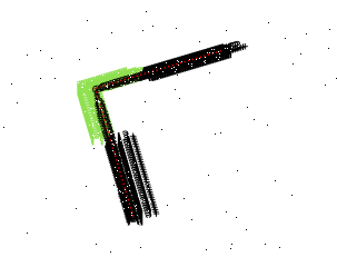 F.F.F.F.F.F.F.F.F.F.F.F.F.F.F.F.F.F.F.F.F.F.F.F.F.F.F.F.F.F.F.F.F.F.F.F.F.F.F.F.F.F.F.F.F.F.F.F.F.F.[Al+3].[Al+3].[Al+3].[Al+3].[Al+3].[Al+3].[Al+3].[Al+3].[Al+3].[Al+3].[Al+3].[Al+3].[Al+3].[Al+3].[Al+3].[Al+3].[Al+3].[Al+3].[Al+3].[Al+3].[Al+3].[Al+3].[Al+3].[Al+3].[Al+3].[Al+3].[Al+3].[Al+3].[Al+3].[Al+3].[Al+3].[Al+3].[Al+3].[Al+3].[Al+3].[Al+3].[Al+3].[Al+3].[Al+3].[Al+3].[Al+3].[Al+3].[Al+3].[Al+3].[Al+3].[Al+3].[Al+3].[Al+3].[Al+3].[Al+3].[Al+3].[Al+3].[Al+3].[Al+3].[Al+3].[Al+3].[Al+3].[Al+3].[Al+3].[Al+3].[Al+3].[Al+3].[Al+3].[Al+3].[Al+3].[Al+3].[Al+3].[Al+3].[Al+3].[Al+3].[Al+3].[Al+3].[Al+3].[Al+3].[Al+3].[Al+3].[Al+3].[Al+3].[Al+3].[Al+3]